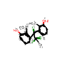 O=C(O)c1c(O)cccc1C(F)(c1cccc(O)c1C(=O)O)C(F)(F)C(F)(F)F